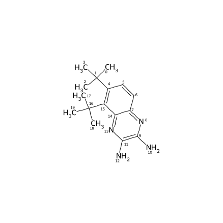 CC(C)(C)c1ccc2nc(N)c(N)nc2c1C(C)(C)C